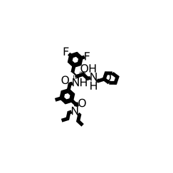 CCCN(CCC)C(=O)c1cc(C)cc(C(=O)N[C@@H](Cc2cc(F)cc(F)c2)[C@H](O)CNCC2CC3CCC2O3)c1